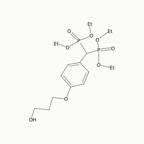 CCOP(=O)(OCC)C(c1ccc(OCCCO)cc1)P(=O)(OCC)OCC